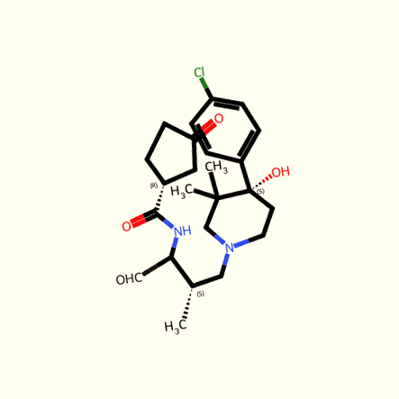 C[C@@H](CN1CC[C@](O)(c2ccc(Cl)cc2)C(C)(C)C1)C(C=O)NC(=O)[C@@H]1CCC(=O)C1